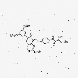 CNc1ncc2cc(-c3cc(OC)cc(OC)c3)c(=O)n(CCc3ccc(NC(=O)/C(C#N)=C/C(C)(C)C)cc3)c2n1